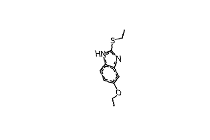 CCOc1ccc2[nH]c(SCC)nc2c1